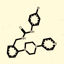 O=C(NCc1ccccc1N1CCN(c2ccncc2)CC1)Nc1ccc(Br)cc1